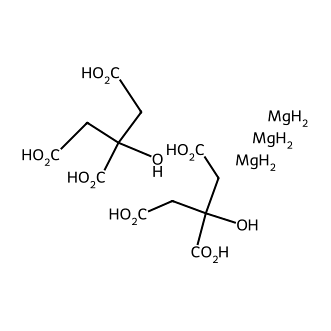 O=C(O)CC(O)(CC(=O)O)C(=O)O.O=C(O)CC(O)(CC(=O)O)C(=O)O.[MgH2].[MgH2].[MgH2]